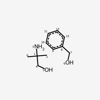 CC(C)(N)CO.OCc1ccccc1